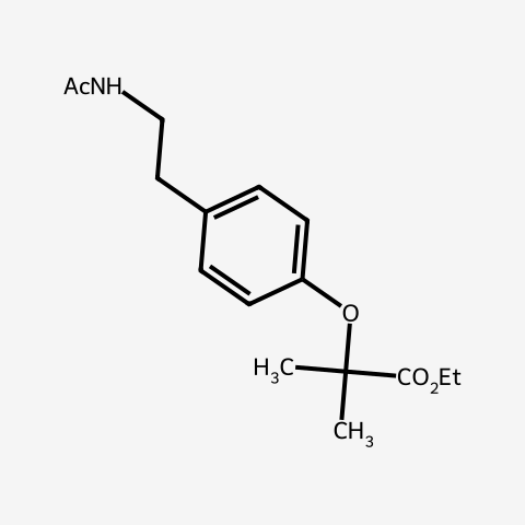 CCOC(=O)C(C)(C)Oc1ccc(CCNC(C)=O)cc1